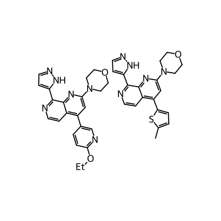 CCOc1ccc(-c2cc(N3CCOCC3)nc3c(-c4ccn[nH]4)nccc23)cn1.Cc1ccc(-c2cc(N3CCOCC3)nc3c(-c4ccn[nH]4)nccc23)s1